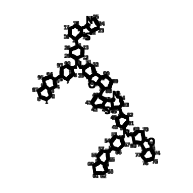 c1ccc2cc(-c3ccc(N(c4ccc(-c5cccc6c5sc5cccnc56)cc4)c4ccc5c(c4)oc4c(-c6cccc7sc8c(-c9ccc(N(c%10ccc(-c%11ccc%12ccccc%12c%11)cc%10)c%10ccc%11oc%12ccccc%12c%11c%10)cc9)ccnc8c67)cccc45)cc3)ccc2c1